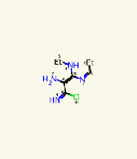 CC/C=N\C(NCC)=C(\N)C(=N)Cl